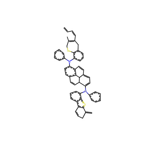 C=C/C=C\C1=C(C)CSc2c(cccc2N(c2ccccc2)c2ccc3c4c2C=CC2=CC=C(N(c5ccccc5)c5cccc6c7c(sc56)C(=C)CC=C7)C(C=C3)C24)C1